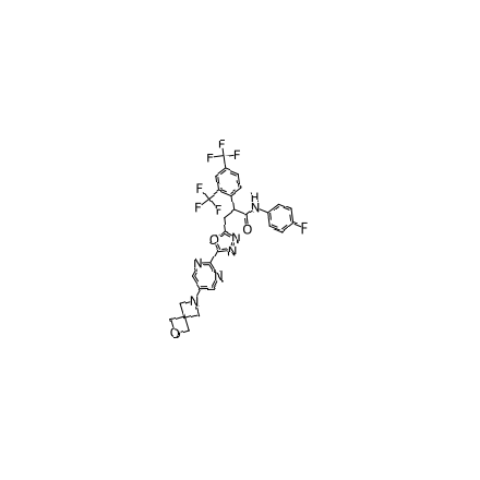 O=C(Nc1ccc(F)cc1)C(Cc1nnc(-c2ncc(N3CC4(COC4)C3)cn2)o1)c1ccc(C(F)(F)F)cc1C(F)(F)F